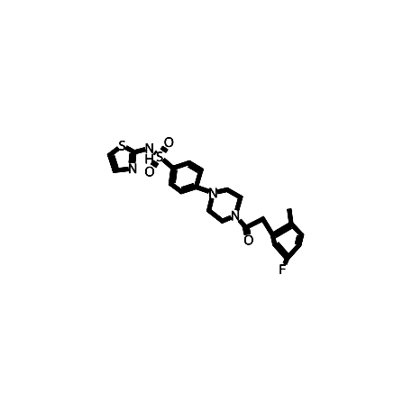 Cc1ccc(F)cc1CC(=O)N1CCN(c2ccc(S(=O)(=O)Nc3nccs3)cc2)CC1